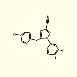 N#Cc1cc(Cc2ncc(Cl)cn2)n(-c2ccc(F)c(F)c2)n1